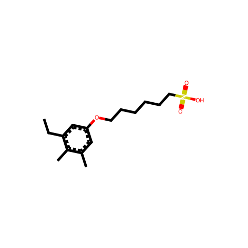 CCc1cc(OCCCCCCS(=O)(=O)O)cc(C)c1C